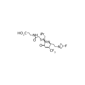 CC(C)CN(SCC(=O)NCCC(=O)O)n1nc(CCN2CC(F)C2)c(C(F)(F)F)cc1=O